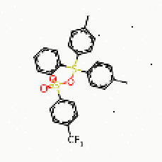 Cc1ccc(S(OS(=O)(=O)c2ccc(C(F)(F)F)cc2)(c2ccccc2)c2ccc(C)cc2)cc1